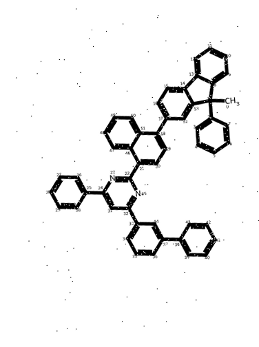 CC1(c2ccccc2)c2ccccc2-c2ccc(-c3ccc(-c4nc(-c5ccccc5)cc(-c5cccc(-c6ccccc6)c5)n4)c4ccccc34)cc21